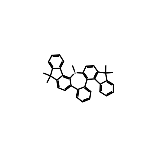 CN1c2ccc3c(c2-c2ccccc2-c2ccc4c(c21)-c1ccccc1C4(C)C)-c1ccccc1C3(C)C